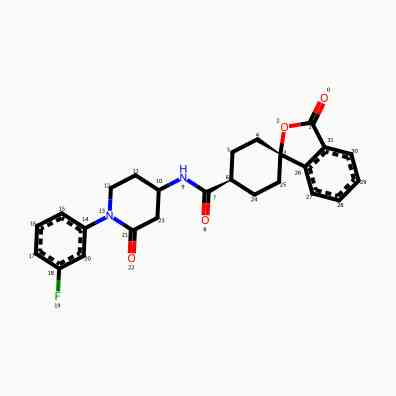 O=C1O[C@]2(CC[C@H](C(=O)NC3CCN(c4cccc(F)c4)C(=O)C3)CC2)c2ccccc21